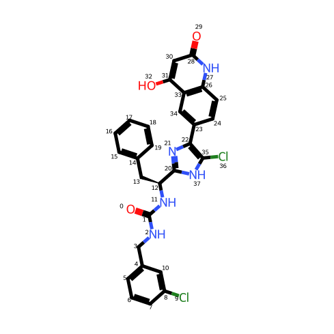 O=C(NCc1cccc(Cl)c1)N[C@@H](Cc1ccccc1)c1nc(-c2ccc3[nH]c(=O)cc(O)c3c2)c(Cl)[nH]1